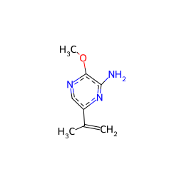 C=C(C)c1cnc(OC)c(N)n1